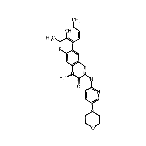 CC/C=C\C(=C(/C)CC)c1cc2cc(Nc3ccc(N4CCOCC4)cn3)c(=O)n(C)c2cc1F